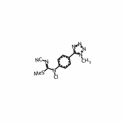 CSC(=NC#N)N(Cl)c1ccc(-c2nnnn2C)cc1